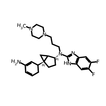 CN1CCN(CCCN(c2nc3cc(F)c(F)cc3[nH]2)[C@@H]2CC[C@]3(C4C=C(N)C=CC4)CC23)CC1